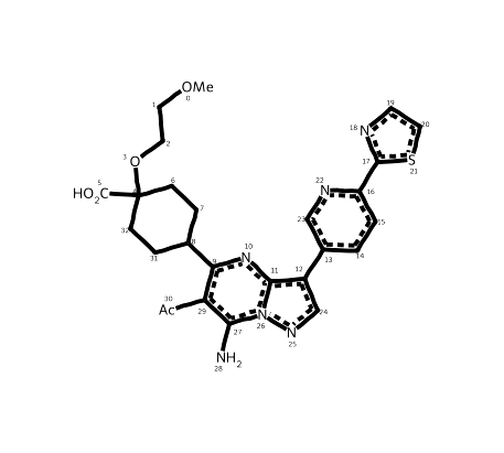 COCCOC1(C(=O)O)CCC(c2nc3c(-c4ccc(-c5nccs5)nc4)cnn3c(N)c2C(C)=O)CC1